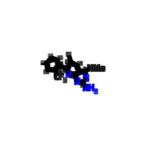 CNc1nc(N)nc2nc(-c3ccccc3C(F)(F)F)c(C)cc12